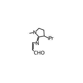 CC(C)C1CCN(C)/C1=N\C=C/C=O